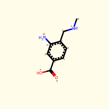 CNCc1ccc(C(=O)O)cc1N